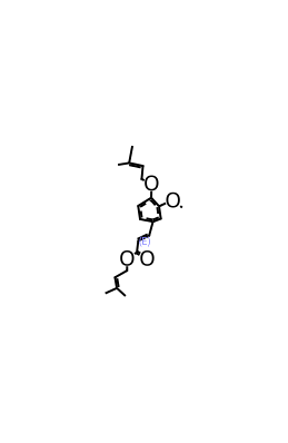 COc1cc(/C=C/C(=O)OCC=C(C)C)ccc1OCC=C(C)C